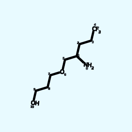 NC(CCC(F)(F)F)COCCCO